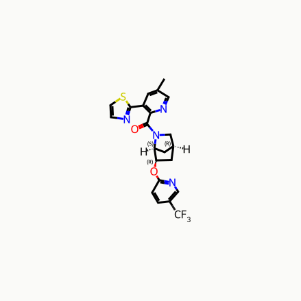 Cc1cnc(C(=O)N2C[C@H]3C[C@@H](Oc4ccc(C(F)(F)F)cn4)[C@@H]2C3)c(-c2nccs2)c1